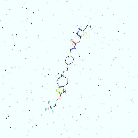 Cc1nnc(CC(=O)/N=C/C2CCC(CCN3CCc4nc(OCCC(F)(F)F)sc4CC3)CC2)s1